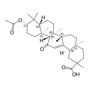 CC(=O)O[C@H]1CC[C@]2(C)[C@H]3C(=O)C=C4[C@@H]5CC(C)(C(=O)O)CC[C@]5(C)CC[C@@]4(C)[C@]3(C)CC[C@H]2C1(C)C